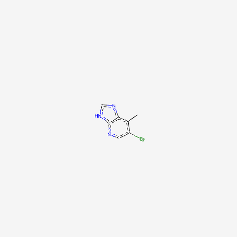 Cc1c(Br)cnc2[nH]cnc12